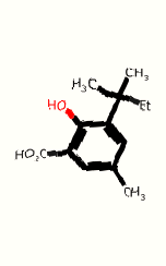 CCC(C)(C)c1cc(C)cc(C(=O)O)c1O